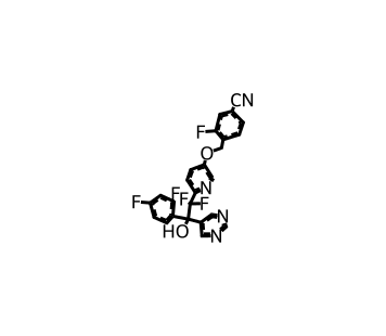 N#Cc1ccc(COc2ccc(C(F)(F)C(O)(c3cncnc3)c3ccc(F)cc3F)nc2)c(F)c1